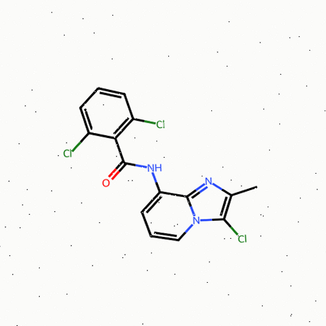 Cc1nc2c(NC(=O)c3c(Cl)cccc3Cl)cccn2c1Cl